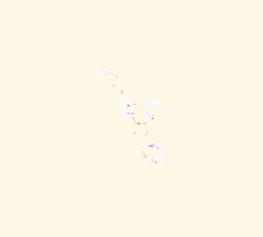 N=C(/C=C\N)c1ccc2c(c1)nc(N)c1cn(CCCC(N)=O)nc12